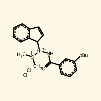 C[SiH](C)[Hf+2]([NH]C(=O)c1cccc(C(C)(C)C)c1)[CH]1C=Cc2ccccc21.[Cl-].[Cl-]